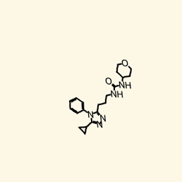 O=C(NCCCc1nnc(C2CC2)n1-c1ccccc1)NC1CCOCC1